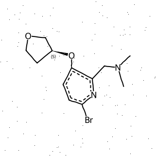 CN(C)Cc1nc(Br)ccc1O[C@H]1CCOC1